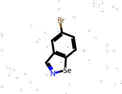 Brc1ccc2[se]ncc2c1